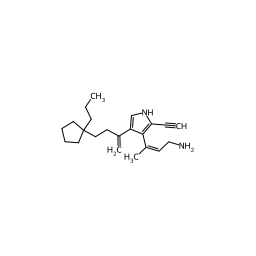 C#Cc1[nH]cc(C(=C)CCC2(CCC)CCCC2)c1/C(C)=C\CN